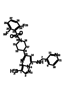 Bc1cnn2c(NCc3cccnc3)cc(C3CCN(S(=O)(=O)c4c(F)cccc4F)CC3)nc12